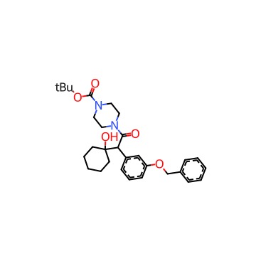 CC(C)(C)OC(=O)N1CCN(C(=O)C(c2cccc(OCc3ccccc3)c2)C2(O)CCCCC2)CC1